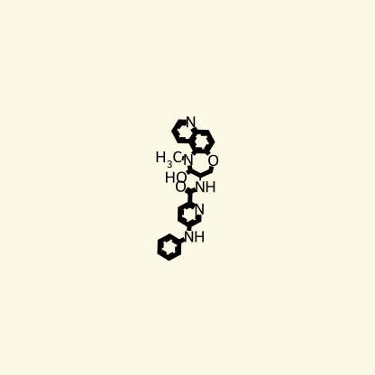 CN1c2c(ccc3ncccc23)OC[C@H](NC(=O)c2ccc(Nc3ccccc3)cn2)C1O